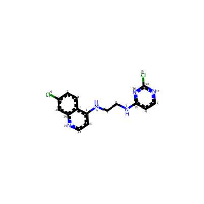 Clc1ccc2c(NCCNc3ccnc(Cl)n3)ccnc2c1